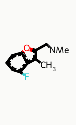 CNCc1oc2cccc(F)c2c1C